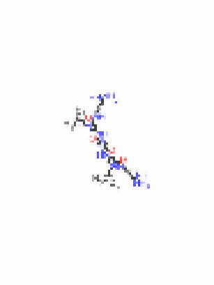 CC(C)CCn1cc(NC(=O)c2cnc(C(=O)Nc3cc(C(=O)NCCCCC(=N)N)n(CCC(C)C)c3)cn2)cc1C(=O)NCCCCC(=N)N